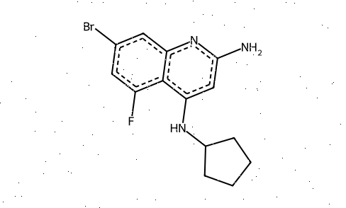 Nc1cc(NC2CCCC2)c2c(F)cc(Br)cc2n1